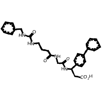 O=C(O)CC(NC(=O)CNC(=O)CCCNC(=O)NCc1ccccc1)c1ccc(-c2ccccc2)cc1